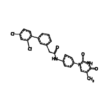 Cc1cn(-c2ccc(NC(=O)Cc3cccc(-c4ccc(Cl)cc4Cl)c3)cc2)c(=O)[nH]c1=O